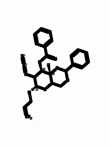 C=CCO[C@H]1OC2COC(c3ccccc3)O[C@@H]2[C@H](OC(=O)c2ccccc2)C1N=[N+]=[N-]